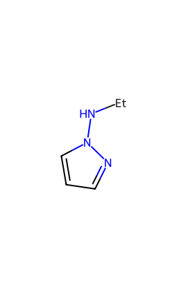 CCNn1cccn1